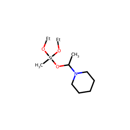 CCO[Si](C)(OCC)OC(C)N1CCCCC1